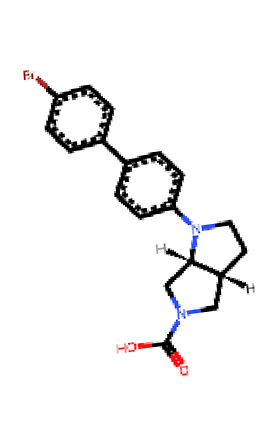 O=C(O)N1C[C@H]2CCN(c3ccc(-c4ccc(Br)cc4)cc3)[C@H]2C1